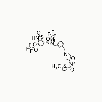 Cc1ccc(C(=O)N2CCOC3(CCN(CCc4cccc(CNC[C@H](OC(=O)C(F)(F)F)c5ccc(OC(=O)C(F)(F)F)c6[nH]c(=O)sc56)c4)CC3)C2)s1